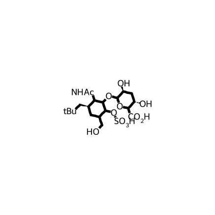 CC(=O)NC1C(OC2OC(C(=O)O)[C@@H](O)C[C@@H]2O)C(OS(=O)(=O)O)C(CO)C[C@H]1CC(C)(C)C